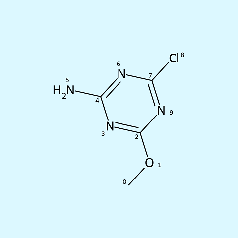 COc1nc(N)nc(Cl)n1